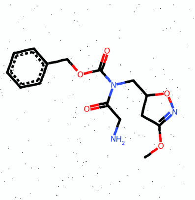 COC1=NOC(CN(C(=O)CN)C(=O)OCc2ccccc2)C1